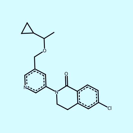 CC(OCc1cncc(N2CCc3cc(Cl)ccc3C2=O)c1)C1CC1